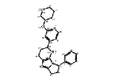 c1ccc([C@H]2CCc3nc4c(n32)NC(c2ccnc(OC3CCCNC3)c2)CC4)cc1